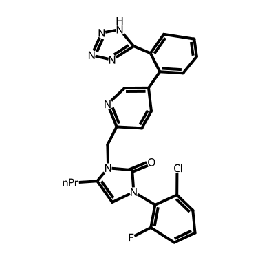 CCCc1cn(-c2c(F)cccc2Cl)c(=O)n1Cc1ccc(-c2ccccc2-c2nnn[nH]2)cn1